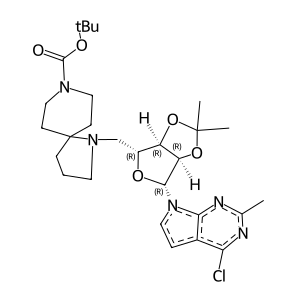 Cc1nc(Cl)c2ccn([C@@H]3O[C@H](CN4CCCC45CCN(C(=O)OC(C)(C)C)CC5)[C@H]4OC(C)(C)O[C@H]43)c2n1